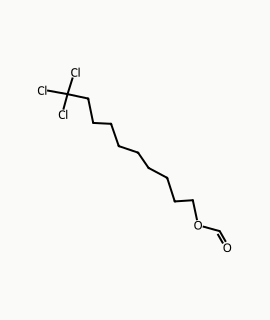 O=COCCCCCCCCCC(Cl)(Cl)Cl